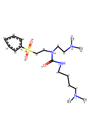 CCN(CC)CCCCNC(=O)N(CCN(CC)CC)CCS(=O)(=O)c1ccccc1